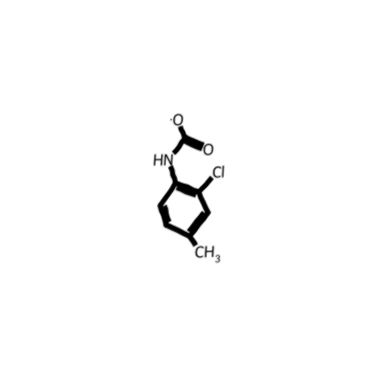 Cc1ccc(NC([O])=O)c(Cl)c1